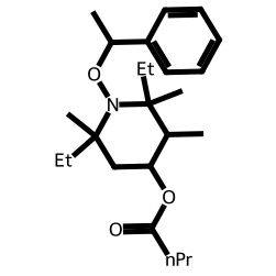 CCCC(=O)OC1CC(C)(CC)N(OC(C)c2ccccc2)C(C)(CC)C1C